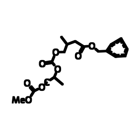 COC(=O)OCC(C)OC(=O)OCC(C)CC(=O)OCc1ccccc1